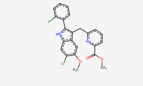 COC(=O)c1cccc(Cc2c(-c3ccccc3F)[nH]c3cc(Cl)c(OC)cc23)n1